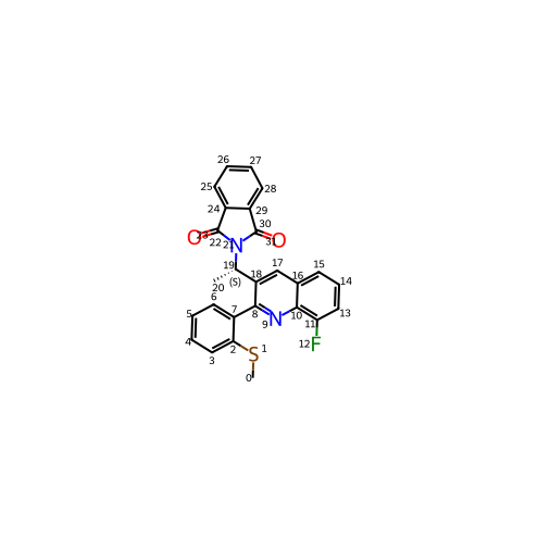 CSc1ccccc1-c1nc2c(F)cccc2cc1[C@H](C)N1C(=O)c2ccccc2C1=O